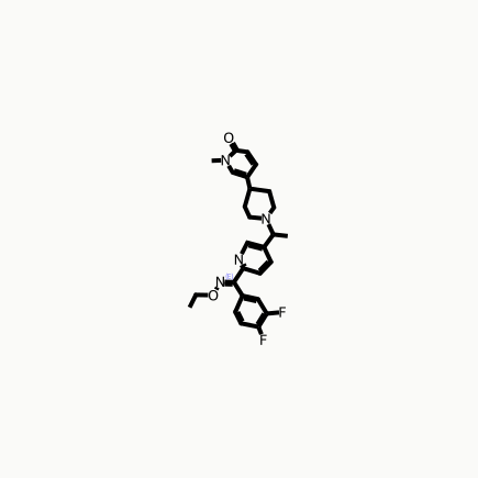 CCO/N=C(\c1ccc(F)c(F)c1)c1ccc(C(C)N2CCC(c3ccc(=O)n(C)c3)CC2)cn1